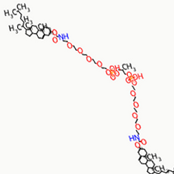 CC(C)CCCC(C)C1CCC2C3CC=C4C[C@H](OC(=O)NCCOCCOCCOCCOCCOP(=O)(O)OCC(C)COP(=O)(O)OCCOCCOCCOCCOCCNC(=O)O[C@@H]5CC[C@]6(C)C(=CCC7C8CCC(C(C)CCCC(C)C)[C@]8(C)CCC76)C5)CC[C@@]4(C)C3CC[C@@]12C